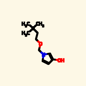 C[Si](C)(C)CCOCn1ccc(O)c1